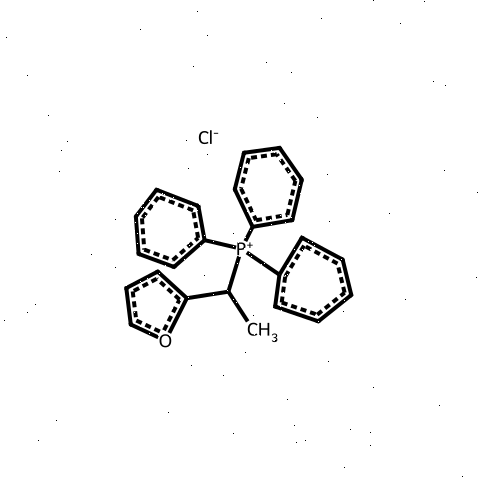 CC(c1ccco1)[P+](c1ccccc1)(c1ccccc1)c1ccccc1.[Cl-]